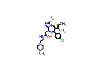 Cc1sc2c(c1C)C(c1ccc(Cl)cc1)=N[C@@H](C[C@@H](O)NCCN1CCN(C)CC1)c1nnc(C)n1-2